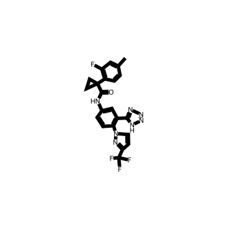 Cc1ccc(C2(C(=O)Nc3ccc(-n4ccc(C(F)(F)F)n4)c(-c4nnn[nH]4)c3)CC2)c(F)c1